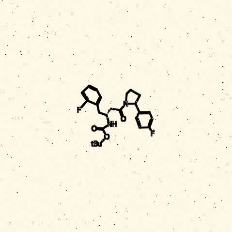 CC(C)(C)OC(=O)N[C@@H](CC(=O)N1CCCC1c1ccc(F)cc1)Cc1ccccc1F